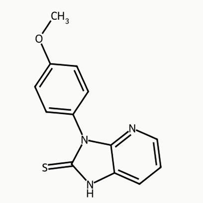 COc1ccc(-n2c(=S)[nH]c3cccnc32)cc1